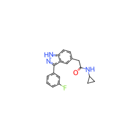 O=C(Cc1ccc2[nH]nc(-c3cccc(F)c3)c2c1)NC1CC1